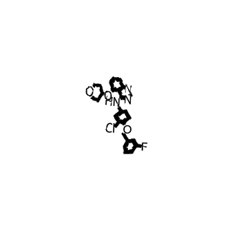 Fc1cccc(COc2ccc(Nc3ncnc4cccc(OC5CCOCC5)c34)cc2Cl)c1